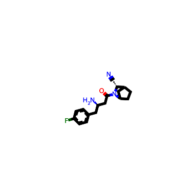 N#C[C@@H]1C2CCC(C2)N1C(=O)C[C@H](N)Cc1ccc(F)cc1